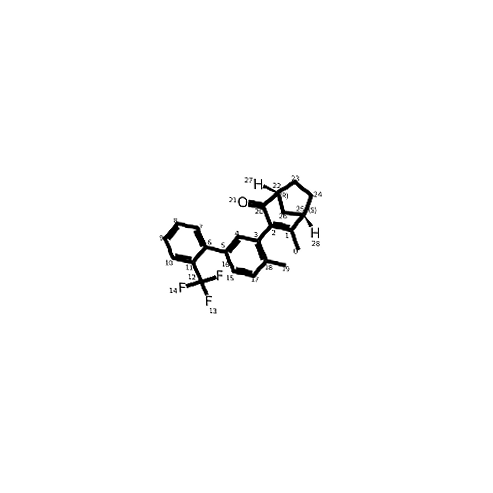 CC1=C(c2cc(-c3ccccc3C(F)(F)F)ccc2C)C(=O)[C@@H]2CC[C@H]1C2